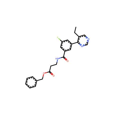 CCc1cncnc1-c1cc(F)cc(C(=O)NCCC(=O)OCc2ccccc2)c1